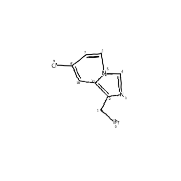 CC(C)Cc1ncn2ccc(Cl)cc12